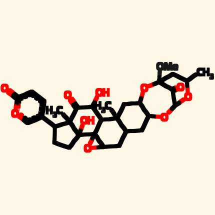 COC12CC(C)OC(OC3CC4CC5OC56C(C(O)C(=O)C5(C)C(c7ccc(=O)oc7)CCC56O)C4(C)CC3O1)C2=O